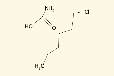 CCCCCCCl.NC(=O)O